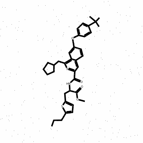 CCCc1ccc(CC(NC(=O)c2cc3ccc(Oc4ccc(C(C)(C)C)cc4)cc3c(CC3CCCC3)n2)C(=O)OC)s1